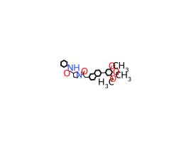 COc1cc(-c2ccc3cc(CC(=O)N4CCC(C(=O)Nc5ccccc5)C4)ccc3c2)cc(OC)c1OC